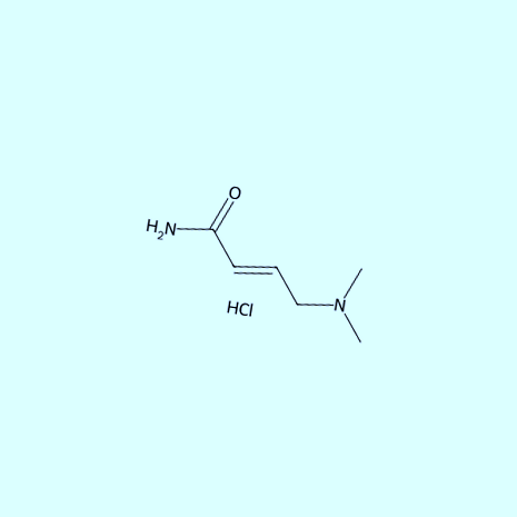 CN(C)CC=CC(N)=O.Cl